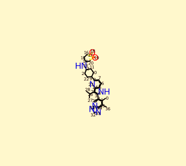 Cc1c(-c2[nH]c3ccc(C4CCC(NC5CCS(=O)(=O)C5)CC4)nc3c2C(C)C)cn2ncnc2c1C